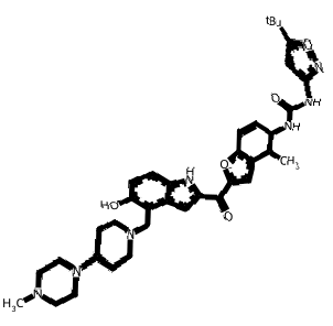 CC1c2cc(C(=O)c3cc4c(CN5CCC(N6CCN(C)CC6)CC5)c(O)ccc4[nH]3)oc2C=CC1NC(=O)Nc1cc(C(C)(C)C)on1